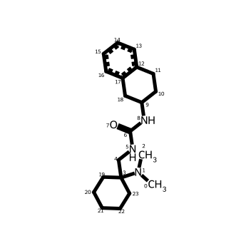 CN(C)C1(CNC(=O)NC2CCc3ccccc3C2)CCCCC1